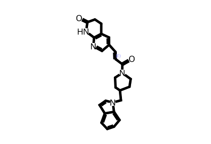 O=C1CCc2cc(/C=C/C(=O)N3CCC(Cn4ccc5ccccc54)CC3)cnc2N1